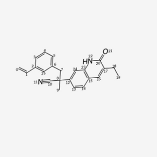 C=Cc1cccc(CC(C)(C#N)c2ccc3cc(CC)c(=O)[nH]c3c2)c1